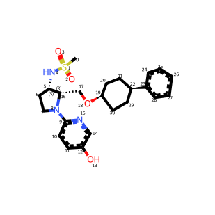 CS(=O)(=O)N[C@H]1CCN(c2ccc(O)cn2)[C@H]1CO[C@H]1CC[C@@H](c2ccccc2)CC1